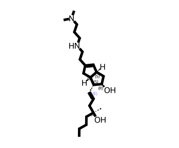 CCCC[C@](C)(O)C/C=C/[C@@H]1[C@H]2CC(CCNCCCN(C)C)=C[C@H]2C[C@H]1O